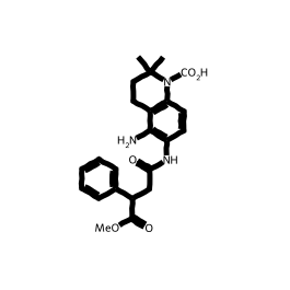 COC(=O)C(CC(=O)Nc1ccc2c(c1N)CCC(C)(C)N2C(=O)O)c1ccccc1